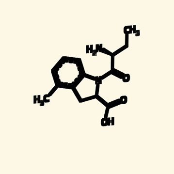 CC[C@H](N)C(=O)N1c2cccc(C)c2CC1C(=O)O